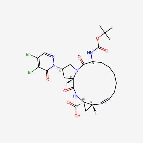 CC(C)(C)OC(=O)N[C@H]1CCCCC/C=C\[C@@H]2C[C@@]2(C(=O)O)NC(=O)[C@@H]2C[C@H](n3ncc(Br)c(Br)c3=O)CN2C1=O